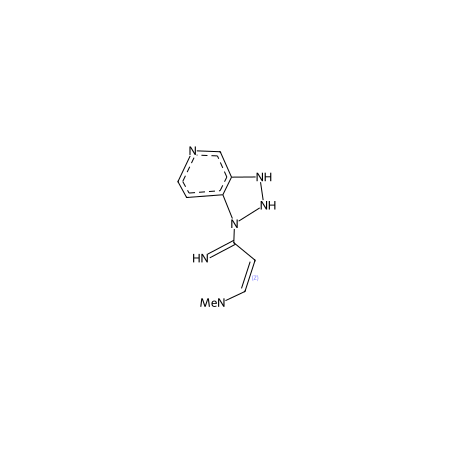 CN/C=C\C(=N)N1NNc2cnccc21